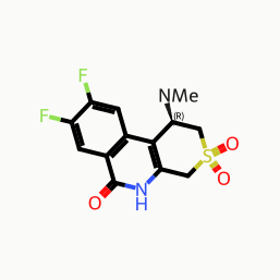 CN[C@H]1CS(=O)(=O)Cc2[nH]c(=O)c3cc(F)c(F)cc3c21